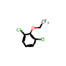 FC(F)(F)COc1c(Cl)cccc1Cl